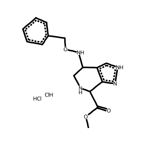 COC(=O)C1NCC(NOCc2ccccc2)c2c[nH]nc21.Cl.Cl